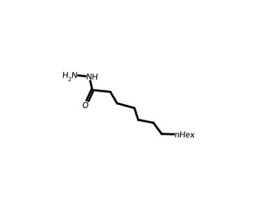 CCCCCCCCCCCCC(=O)NN